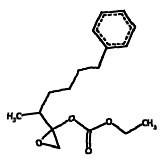 CCOC(=O)OC1(C(C)CCCCc2ccccc2)CO1